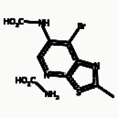 Cc1nc2c(Br)c(NC(=O)O)cnc2s1.NC(=O)O